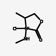 CN[N+]1(Cl)C(=O)OCC1C